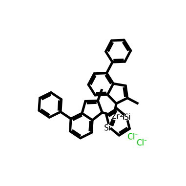 CC1=Cc2c(-c3ccccc3)cccc2[CH]1[Zr+2]1([CH]2C(C)=Cc3c(-c4ccccc4)cccc32)=[Si]2C=C[Si]=1C=C2.[Cl-].[Cl-]